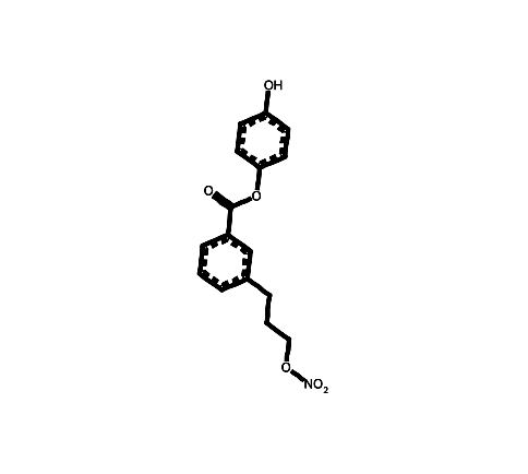 O=C(Oc1ccc(O)cc1)c1cccc(CCCO[N+](=O)[O-])c1